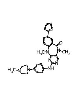 CN1CCN(c2ccc(Nc3ncc4c(n3)N(C)c3ccc(-c5cccs5)cc3C(=O)N4C)cc2)CC1